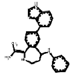 C/C(N)=C1/NCCC(Nc2ccccc2)c2cc(-c3cccc4[nH]cnc34)ccc21